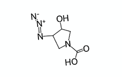 [N-]=[N+]=NC1CN(C(=O)O)CC1O